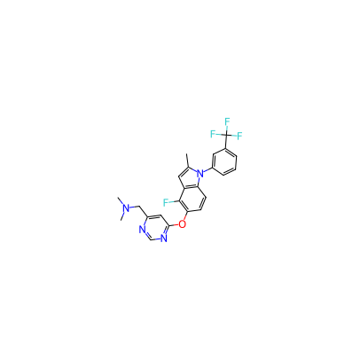 Cc1cc2c(F)c(Oc3cc(CN(C)C)ncn3)ccc2n1-c1cccc(C(F)(F)F)c1